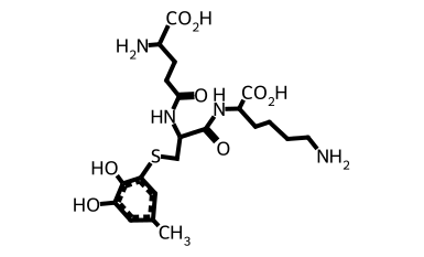 Cc1cc(O)c(O)c(SCC(NC(=O)CCC(N)C(=O)O)C(=O)NC(CCCCN)C(=O)O)c1